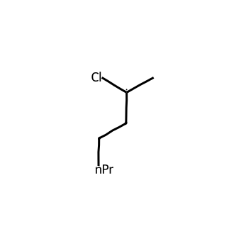 CCCCC[C](C)Cl